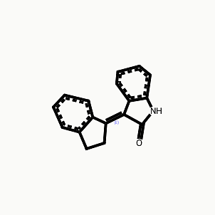 O=C1Nc2ccccc2/C1=C1/CCc2ccccc21